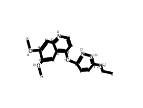 CCNc1ccc(Oc2ccnc3cc(OC)c(OC)cc23)nn1